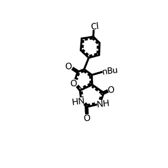 CCCCc1c(-c2ccc(Cl)cc2)c(=O)oc2[nH]c(=O)[nH]c(=O)c12